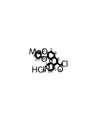 COc1ccc(C=C(C(=O)Cl)c2ccncc2)cc1OC1CCCC1.Cl